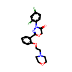 O=C1COC(c2ccccc2OCCN2CCOCC2)=NN1c1ccc(F)cc1F